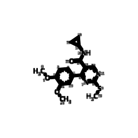 COc1ccc(-c2nc(SC)ncc2C(=O)NC2CC2)cc1OC